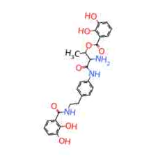 CC(OC(=O)c1cccc(O)c1O)C(N)C(=O)Nc1ccc(CCNC(=O)c2cccc(O)c2O)cc1